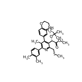 COC(=O)[C@@H](OC(C)(C)C)c1c(CSC)nc(-c2ccc(C)c(C)c2)c(C)c1-c1ccc2c(c1)NCCO2